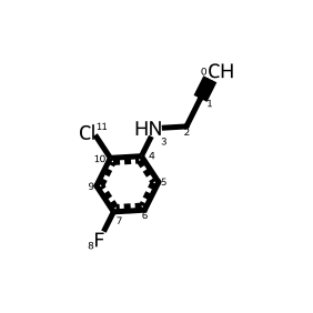 C#CCNc1ccc(F)cc1Cl